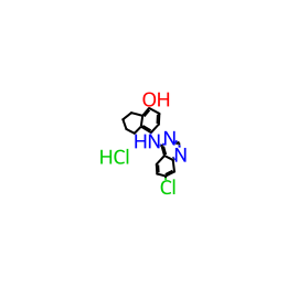 Cl.Oc1ccc(Nc2ncnc3cc(Cl)ccc23)c2c1CCCC2